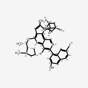 Cc1cc2c(O[C@@H](C)[C@@H]3CCCN3C)nc3c(F)c(-c4cc(O)cc5ccc(F)cc45)ncc3c2n1[C@H]1[C@H]2CN[C@@H]1C2